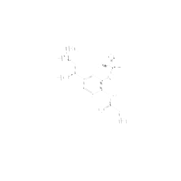 CC(C)CC(=O)Oc1ccc(C(O)CNC(C)(C)C)cc1OS(C)(=O)=O